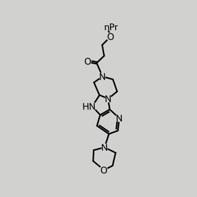 CCCOCCC(=O)N1CCN2c3ncc(N4CCOCC4)cc3NC2C1